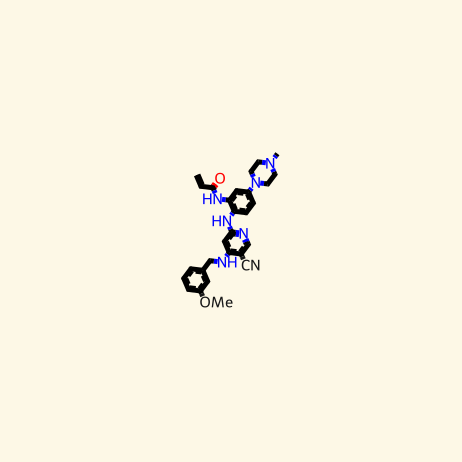 C=CC(=O)Nc1cc(N2CCN(C)CC2)ccc1Nc1cc(NCc2cccc(OC)c2)c(C#N)cn1